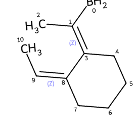 B/C(C)=C1\CCCC\C1=C\C